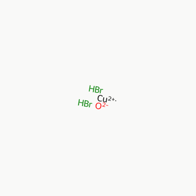 Br.Br.[Cu+2].[O-2]